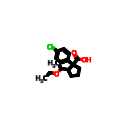 CCOC(C)C1CCCC1(C(=O)O)c1ccc(Cl)cc1